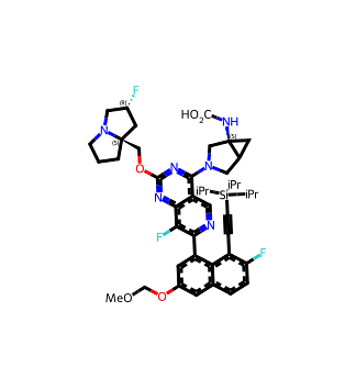 COCOc1cc(-c2ncc3c(N4CC5C[C@@]5(NC(=O)O)C4)nc(OC[C@@]45CCCN4C[C@H](F)C5)nc3c2F)c2c(C#C[Si](C(C)C)(C(C)C)C(C)C)c(F)ccc2c1